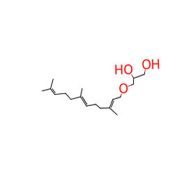 CC(C)=CCC/C(C)=C/CCC(C)=CCOCC(O)CO